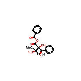 COC(O)(C(=O)O)C(O)(C(=O)OC(=O)c1ccccc1)C(=O)c1ccccc1